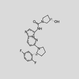 O=C(Nc1cnc2ccc(N3CCC[C@@H]3c3cc(F)ccc3F)nn12)N1CC[C@H](O)C1